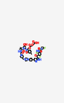 Cc1ccc([C@H](COC(=O)COCC(=O)O)N(C=O)[C@@H]2C[C@@H](O)CN2C(=O)[C@@H](NC(=O)CN2CCC(CN3CCN(c4ccc(-c5cnc6[nH]cc(C(=O)c7c(F)ccc(NS(=O)(=O)N8CC[C@@H](F)C8)c7F)c6c5)cc4)CC3)CC2)C(C)(C)C)cc1